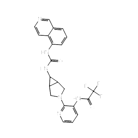 O=C(Nc1cccc2cnccc12)NC1C2CN(c3ncccc3NC(=O)C(F)(F)F)CC21